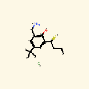 CCCC(=S)c1cc(C(C)(C)C)cc(CN)c1O.Cl